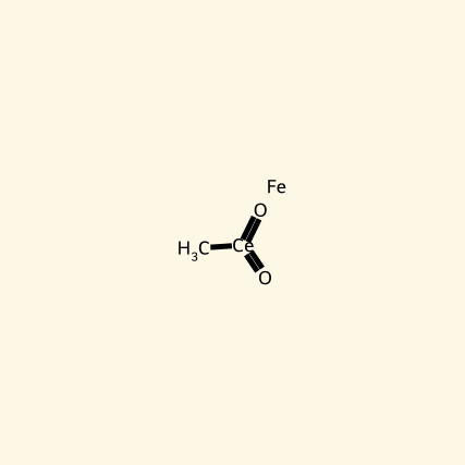 [CH3][Ce](=[O])=[O].[Fe]